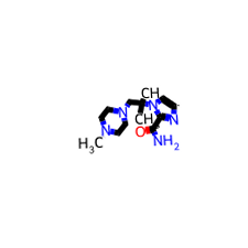 CN1CCN(CC(C)(C)n2c[c]nc2C(N)=O)CC1